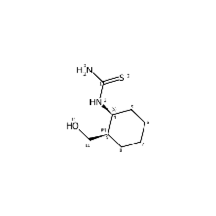 NC(=S)N[C@H]1CCCC[C@H]1CO